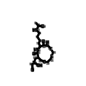 CC(=O)NCCCC[C@@H]1NC(=O)C(CN(O)C=O)CCCCCCCNC1=O